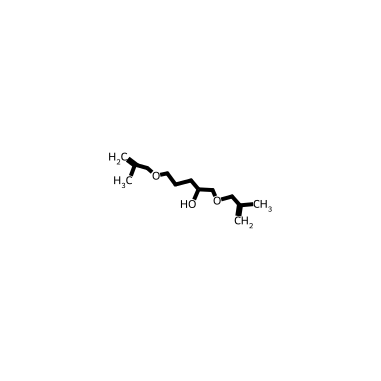 C=C(C)COCCCC(O)COCC(=C)C